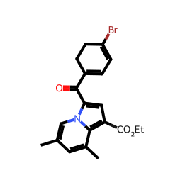 CCOC(=O)c1cc(C(=O)C2=CC=C(Br)CC2)n2cc(C)cc(C)c12